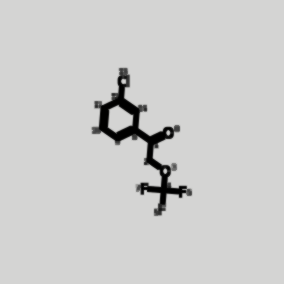 O=C(COC(F)(F)F)c1cccc(Cl)c1